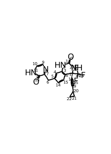 O=C1Nc2cc(Cc3ncc[nH]c3=O)ccc2[C@@](C#CC2CC2)(C(F)(F)F)N1